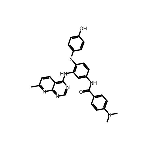 Cc1ccc2c(Nc3cc(NC(=O)c4ccc(N(C)C)cc4)ccc3Sc3ccc(O)cc3)ncnc2n1